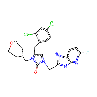 O=c1n(Cc2nc3nc(F)ccc3[nH]2)cc(Cc2ccc(Cl)cc2Cl)n1CC1CCOCC1